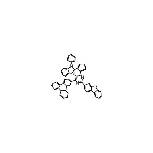 C1=Cc2c(c3cc(-c4nc(-c5ccc6c(c5)oc5ccccc56)nc(-c5ccccc5-c5nc6ccccc6n5-c5ccccc5)n4)ccc3c3ccccc23)CC1